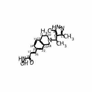 Cc1n[nH]c(C)c1C(C)N1CCc2ccc(C=CC(=O)NO)cc2C1